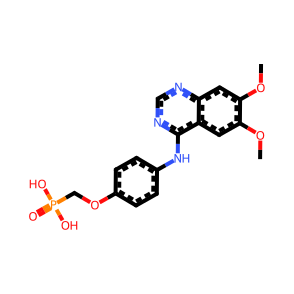 COc1cc2ncnc(Nc3ccc(OCP(=O)(O)O)cc3)c2cc1OC